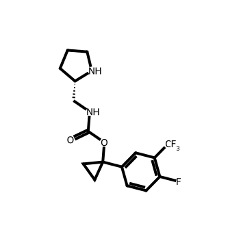 O=C(NC[C@@H]1CCCN1)OC1(c2ccc(F)c(C(F)(F)F)c2)CC1